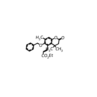 CCOC(=O)C=Cc1c(OCc2ccccc2)c(C)cc2c1C(C)(C)CC(=O)O2